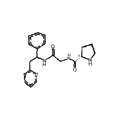 O=C(CNC(=O)[C@@H]1CCCN1)NC(Cc1ccccn1)c1ccccc1